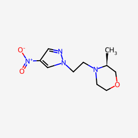 C[C@H]1COCCN1CCn1cc([N+](=O)[O-])cn1